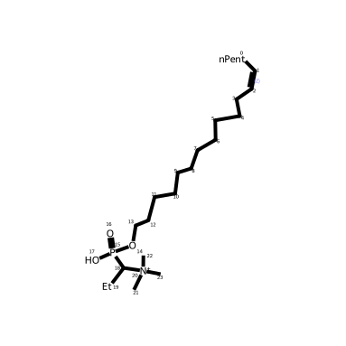 CCCCC/C=C\CCCCCCCCCCCOP(=O)(O)C(CC)[N+](C)(C)C